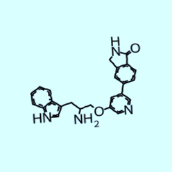 NC(COc1cncc(-c2ccc3c(c2)CNC3=O)c1)Cc1c[nH]c2ccccc12